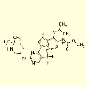 COC(=O)Nc1ccc2c(-c3nc(N[C@H]4CCC(C)(C)NC4)ncc3C(F)(F)F)c[nH]c2c1SC(C)C